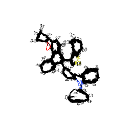 c1ccc(-n2c3ccccc3c3cc(-c4c(-c5csc6ccccc56)c5ccc6c7ccccc7oc6c5c5ccccc45)ccc32)cc1